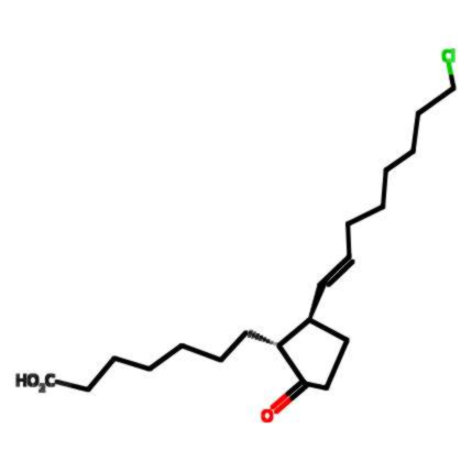 O=C(O)CCCCCC[C@H]1C(=O)CC[C@@H]1C=CCCCCCCCl